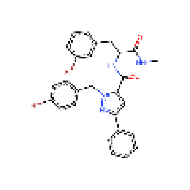 CNC(=O)C(Cc1cccc(Br)c1)NC(=O)c1cc(-c2ccccc2)nn1Cc1ccc(Br)cc1